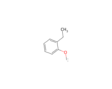 [C]Oc1ccccc1CC